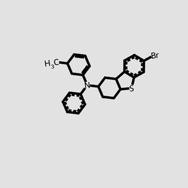 CC1C=CC=C(N(c2ccccc2)C2CCC3Sc4cc(Br)ccc4C3C2)C1